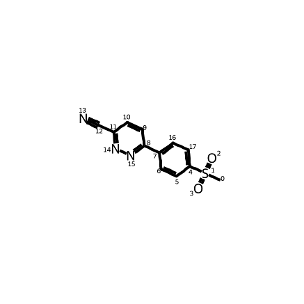 CS(=O)(=O)c1ccc(-c2ccc(C#N)nn2)cc1